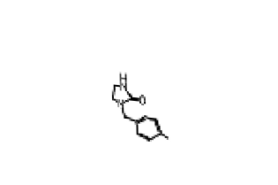 Cc1ccc(CN2CCNC2=O)cc1